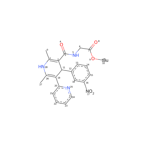 CC1=C(C(=O)NCC(=O)OC(C)(C)C)C(c2cccc([N+](=O)[O-])c2)C(c2ccccn2)=C(C)N1